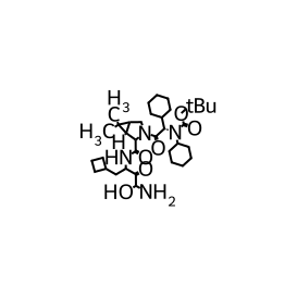 CC(C)(C)OC(=O)N(C1CCCCC1)[C@H](C(=O)N1CC2[C@H](C1C(=O)NC(CC1CCC1)C(=O)C(N)O)C2(C)C)C1CCCCC1